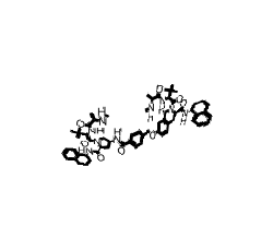 CNC(C)C(=O)NC(C(=O)N1Cc2cc(OCc3ccc(C(=O)N[C@H]4C[C@@H](C(=O)N[C@@H]5CCCc6ccccc65)N(C(=O)C(NC(=O)C(C)NC)C(C)(C)C)C4)cc3)ccc2CC1C(=O)N[C@@H]1CCCc2ccccc21)C(C)(C)C